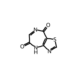 O=c1cnc(=O)c2scnc2[nH]1